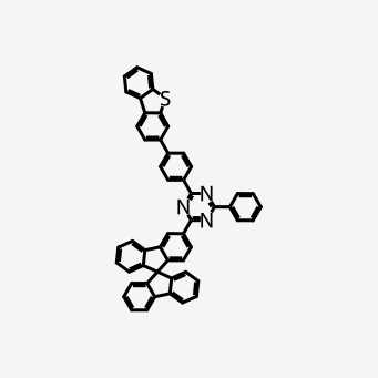 c1ccc(-c2nc(-c3ccc(-c4ccc5c(c4)sc4ccccc45)cc3)nc(-c3ccc4c(c3)-c3ccccc3C43c4ccccc4-c4ccccc43)n2)cc1